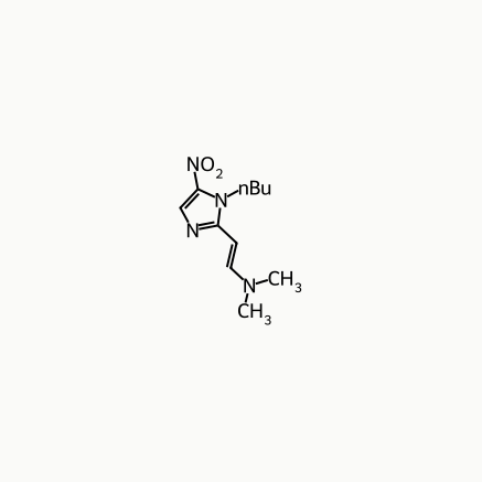 CCCCn1c([N+](=O)[O-])cnc1/C=C/N(C)C